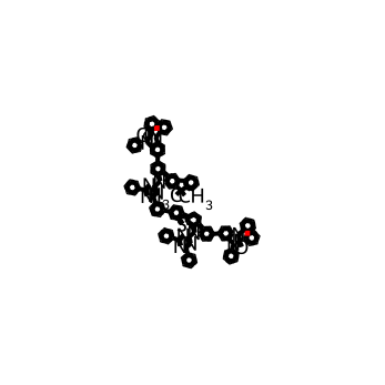 CC1(C)c2ccccc2-c2cc3c4cc(-c5ccc6c(c5)N(c5ccccc5)P(=O)(c5ccccc5)N6c5ccccc5)ccc4n(-c4nc(-c5ccccc5)nc(-c5cccc(-c6ccc7c(c6)sc6c7ccc7c8cc(-c9ccc%10c(c9)N(c9ccccc9)P(=O)(c9ccccc9)N%10c9ccccc9)ccc8n(-c8nc(-c9ccccc9)nc(-c9ccccc9)n8)c76)c5)n4)c3cc21